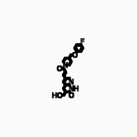 O=C1Nc2ncc(/C=C/C(=O)N3CCC(COc4ccc(F)cc4)CC3)cc2CC1CO